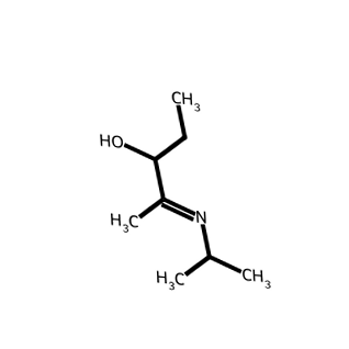 CCC(O)C(C)=NC(C)C